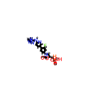 CN(c1ccc(-c2ccc(N3C[C@H](CO[PH](=O)O)OC3=O)cc2F)cn1)c1nnn(C)n1